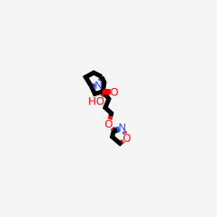 O=C(O)N1C2CCC1CC(CCCOC1=NOCC1)C2